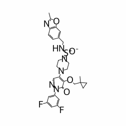 Cc1nc2ccc(CN[S+]([O-])N3CCN(c4cnn(-c5cc(F)cc(F)c5)c(=O)c4OCC4(C)CC4)CC3)cc2o1